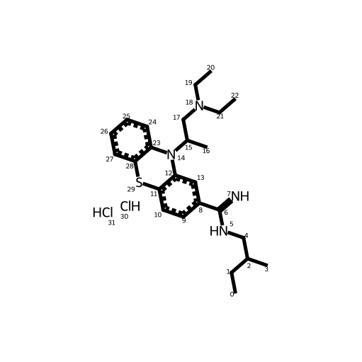 CCC(C)CNC(=N)c1ccc2c(c1)N(C(C)CN(CC)CC)c1ccccc1S2.Cl.Cl